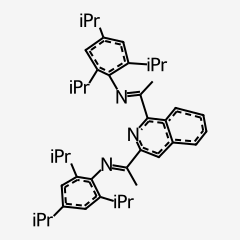 C/C(=N\c1c(C(C)C)cc(C(C)C)cc1C(C)C)c1cc2ccccc2c(/C(C)=N/c2c(C(C)C)cc(C(C)C)cc2C(C)C)n1